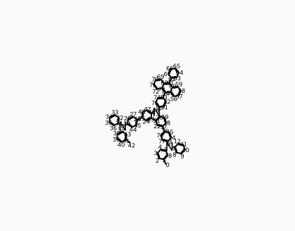 Cc1cccc(N(c2ccccc2)c2ccc(-c3ccc4c(c3)c3cc(-c5ccc(N(c6ccccc6)c6cccc(C)c6)cc5)ccc3n4-c3ccc(-c4c5ccccc5c(-c5ccccc5)c5ccccc45)cc3)cc2)c1